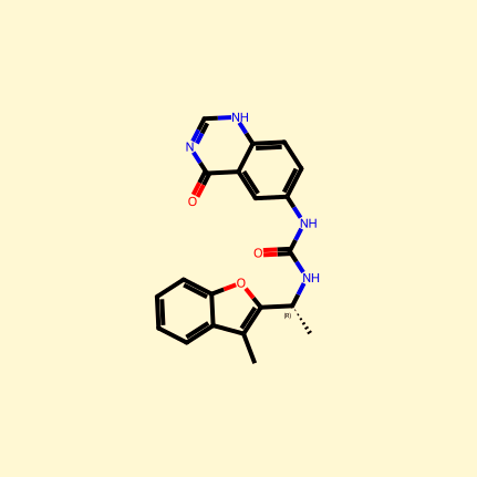 Cc1c([C@@H](C)NC(=O)Nc2ccc3[nH]cnc(=O)c3c2)oc2ccccc12